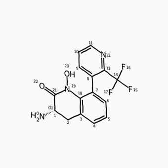 N[C@H]1Cc2cccc(-c3cccnc3C(F)(F)F)c2N(O)C1=O